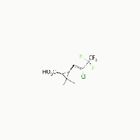 CC1(C)[C@H](C=C(Cl)C(F)(F)C(F)(F)F)[C@@H]1C(=O)O